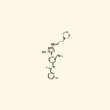 COc1cc(NC(=O)c2cccc(F)c2)ccc1-c1nnc(NCCCN2CCOCC2)o1.Cl